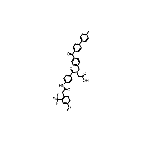 COC1=CC(C(F)(F)F)=C(CC(=O)Nc2ccc(C(=O)N(CC(=O)O)Cc3ccc(C(=O)c4ccc(-c5ccc(C)cc5)cc4)cc3)cc2)CC1